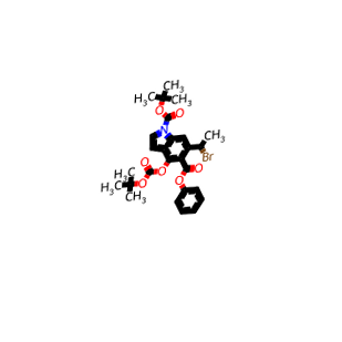 CC(Br)c1cc2c(ccn2C(=O)OC(C)(C)C)c(OC(=O)OC(C)(C)C)c1C(=O)Oc1ccccc1